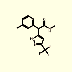 CNC(=O)C(c1cccc(C)c1)c1cc(C(F)(F)F)n[nH]1